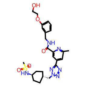 Cc1cc(-c2nnn(C[C@H]3CC[C@H](NS(C)(=O)=O)CC3)n2)cc(C(=O)NCc2cccc(OCCO)c2)n1